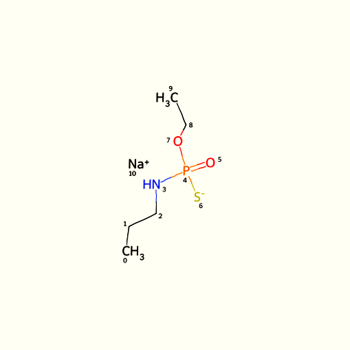 CCCNP(=O)([S-])OCC.[Na+]